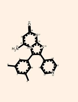 Cc1cc(C)cc(-c2c(-c3ccncc3)sc3nc(=O)cc(N)n23)c1